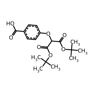 CC(C)(C)OC(=O)C(Oc1ccc(C(=O)O)cc1)C(=O)OC(C)(C)C